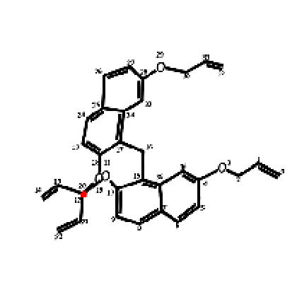 C=CCOc1ccc2ccc(OCC=C)c(Cc3c(OCC=C)ccc4ccc(OCC=C)cc34)c2c1